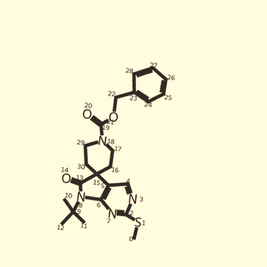 CSc1ncc2c(n1)N(C(C)(C)C)C(=O)C21CCN(C(=O)OCc2ccccc2)CC1